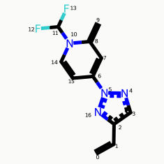 C=Cc1cnn(C2=CC(=C)N(C(F)F)C=C2)n1